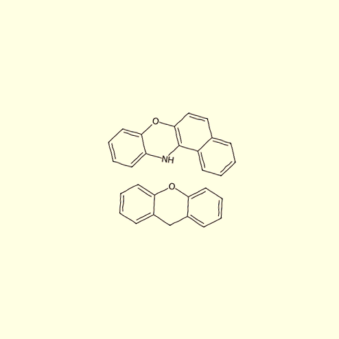 c1ccc2c(c1)Cc1ccccc1O2.c1ccc2c(c1)Nc1c(ccc3ccccc13)O2